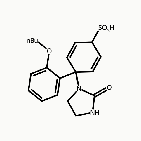 CCCCOc1ccccc1C1(N2CCNC2=O)C=CC(S(=O)(=O)O)C=C1